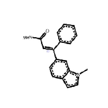 CNC(=O)/C=C(\c1ccccc1)c1ccc2ccn(C)c2c1